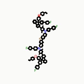 C=CC1C=CC(OC2C=CC(C3(C4=CCC(C5=CC=C(F)CC5)CC4)C4=C(CCC=C4)C4=C3C=C(C3=CC(C)=C(N(C5=CCC(C6=CCC(F)C=C6)C=C5)C5C=CC6=CC7C8=C(CC9CC(N(C%10=CC(C)=C(c%11ccc%12c(c%11)C(c%11ccc(C%13=CCC(F)C=C%13)cc%11)(C%11CC=C(OC%13C=CC(C=C)CC%13)CC%11)c%11ccccc%11-%12)CC%10C)c%10ccc(-c%11ccc(F)cc%11)cc%10)C=CC9=C8)SC7C=C6C5)CC3C)CC4)=CC2)=CC1